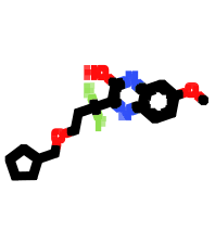 COc1ccc2nc(C(F)(F)CCOCC3CCCC3)c(O)nc2c1